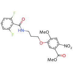 COC(=O)c1cc(OCCCNC(=O)c2c(F)cccc2F)c(OC)cc1[N+](=O)[O-]